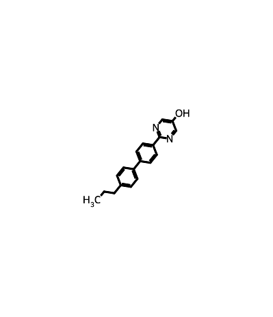 CCCc1ccc(-c2ccc(-c3ncc(O)cn3)cc2)cc1